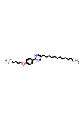 C=CCCCOc1ccc(-c2ncc(CCCCCCCCCCCC)cn2)cc1